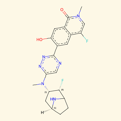 CN(c1cnc(-c2cc3c(F)cn(C)c(=O)c3cc2O)nn1)[C@H]1C[C@@H]2CCC(N2)[C@H]1F